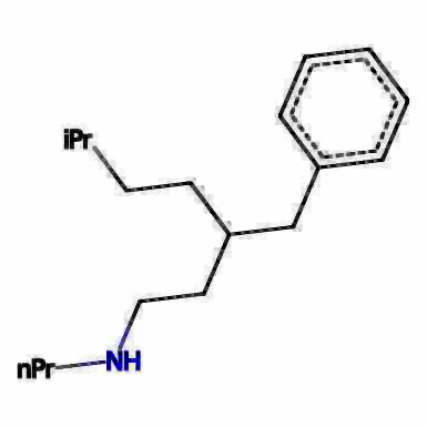 [CH2]CCNCCC(CCC(C)C)Cc1ccccc1